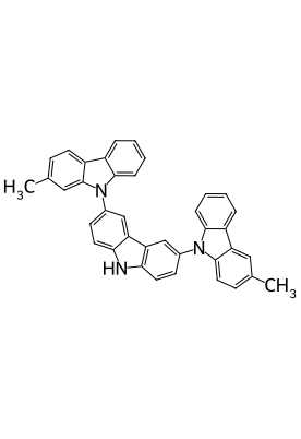 Cc1ccc2c(c1)c1ccccc1n2-c1ccc2[nH]c3ccc(-n4c5ccccc5c5ccc(C)cc54)cc3c2c1